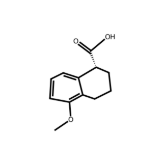 COc1cccc2c1CCC[C@H]2C(=O)O